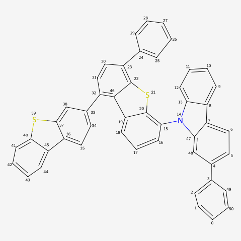 c1ccc(-c2ccc3c4ccccc4n(-c4cccc5c4sc4c(-c6ccccc6)ccc(-c6ccc7c(c6)sc6ccccc67)c45)c3c2)cc1